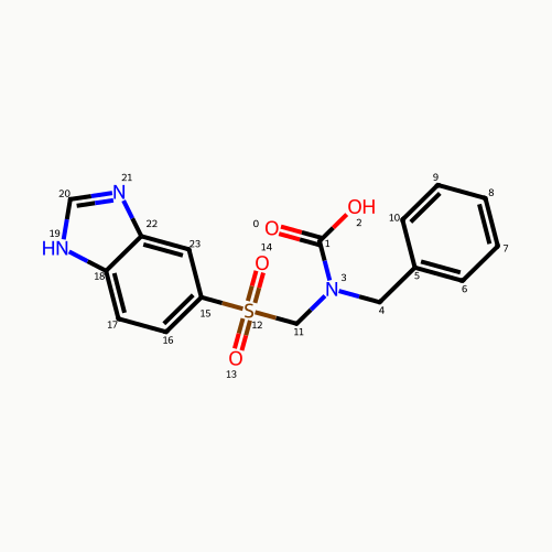 O=C(O)N(Cc1ccccc1)CS(=O)(=O)c1ccc2[nH]cnc2c1